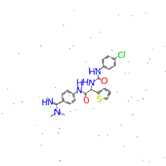 CN(C)C(=N)c1ccc(NC(=O)C(NC(=O)Nc2ccc(Cl)cc2)c2cccs2)cc1